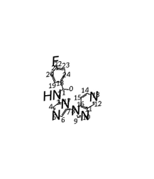 CC(Nc1cncc(-n2cnc3cnccc32)n1)c1ccc(F)cc1